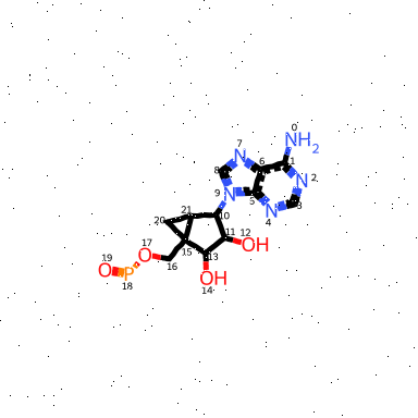 Nc1ncnc2c1ncn2C1C(O)C(O)C2(COP=O)CC12